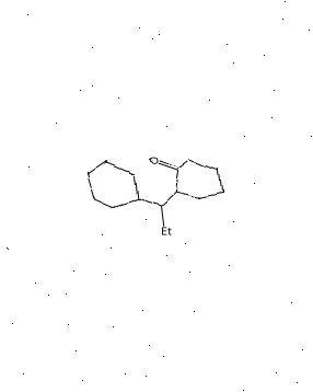 CCC(C1CCCCC1)C1CCCCC1=O